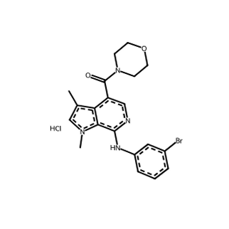 Cc1cn(C)c2c(Nc3cccc(Br)c3)ncc(C(=O)N3CCOCC3)c12.Cl